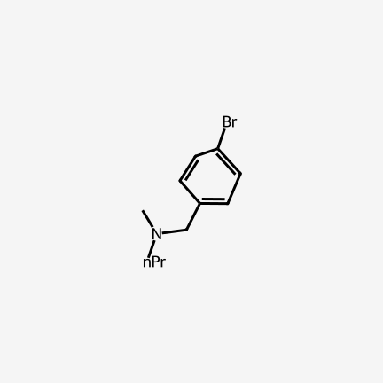 CCCN(C)Cc1ccc(Br)cc1